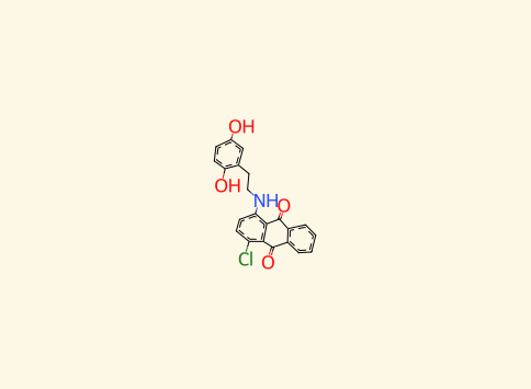 O=C1c2ccccc2C(=O)c2c(NCCc3cc(O)ccc3O)ccc(Cl)c21